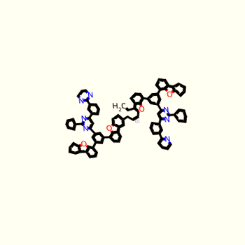 C=Cc1c(/C=C\Cc2ccc3oc4c(-c5cc(-c6cc(-c7cccc(-c8ncccn8)c7)nc(-c7ccccc7)n6)cc(-c6cccc7c6oc6ccccc67)c5)cccc4c3c2)oc2c(-c3cc(-c4cc(-c5cccc(-c6ccccn6)c5)nc(-c5ccccc5)n4)cc(-c4cccc5c4oc4ccccc45)c3)cccc12